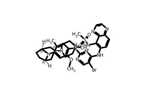 COc1cc(N2[C@@H]3CC[C@H]2C[C@@H](N2CCN(C)CC2)C3)c(C)cc1Nc1ncc(Br)c(Nc2ccc3nccnc3c2NS(C)(=O)=O)n1